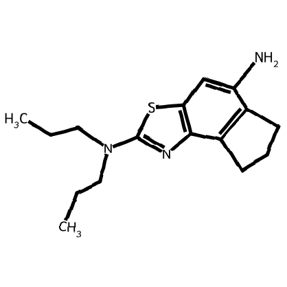 CCCN(CCC)c1nc2c3c(c(N)cc2s1)CCC3